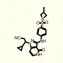 CC1CN(S(=O)(=O)c2ccc(Nc3nn(C(CC#N)C4CC4)c4cc[nH]c(=O)c34)cc2)C1